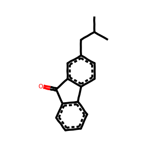 CC(C)Cc1ccc2c(c1)C(=O)c1ccccc1-2